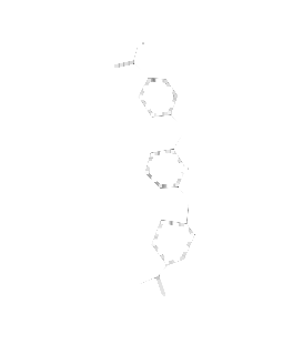 O=C(O)c1ccc(Oc2cccc(Oc3ccc(C(=O)O)cc3)n2)cc1